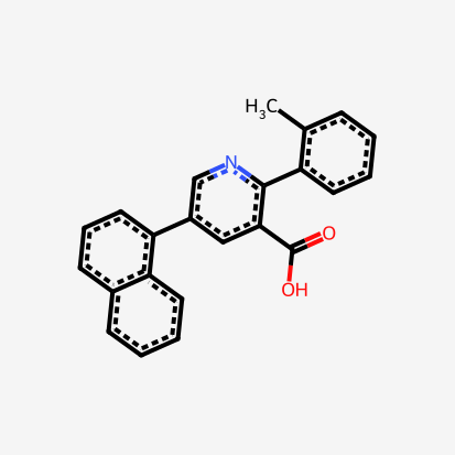 Cc1ccccc1-c1ncc(-c2cccc3ccccc23)cc1C(=O)O